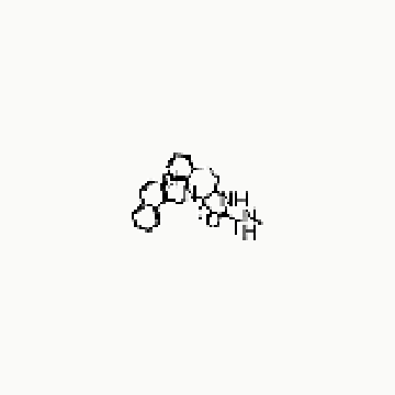 CNC(C)C(=O)NC1CCc2ccccc2N(Cc2c(Cl)ccc3ccccc23)C1=O